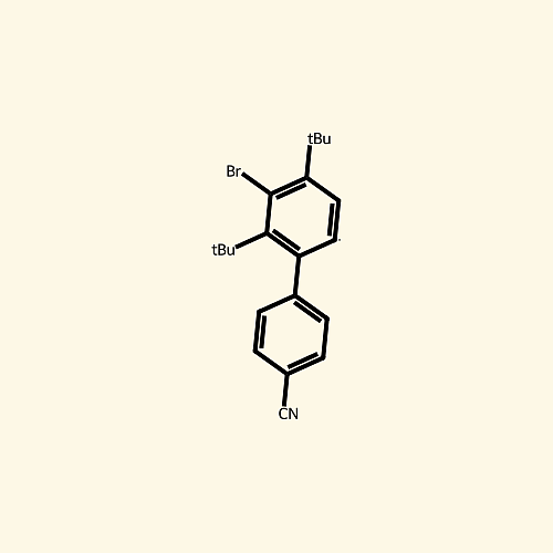 CC(C)(C)c1c[c]c(-c2ccc(C#N)cc2)c(C(C)(C)C)c1Br